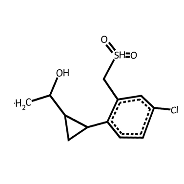 [CH2]C(O)C1CC1c1ccc(Cl)cc1C[SH](=O)=O